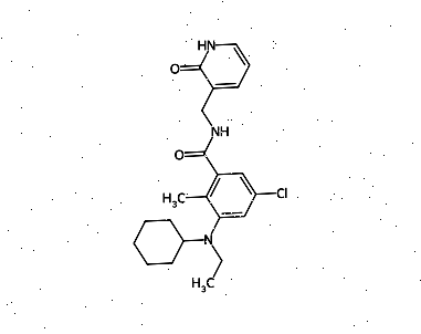 CCN(c1cc(Cl)cc(C(=O)NCc2ccc[nH]c2=O)c1C)C1CCCCC1